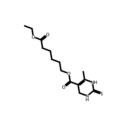 CCOC(=O)CCCCCOC(=O)C1=C(C)NC(=S)NC1